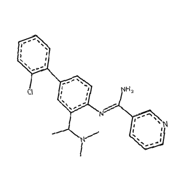 CC(c1cc(-c2ccccc2Cl)ccc1/N=C(\N)c1cccnc1)N(C)C